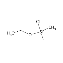 CCO[Si](C)(Cl)I